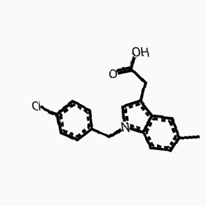 Cc1ccc2c(c1)c(CC(=O)O)cn2Cc1ccc(Cl)cc1